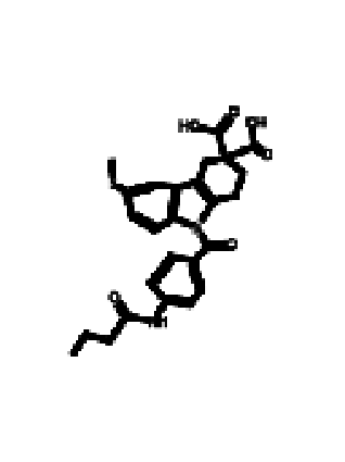 CCCC(=O)Nc1ccc(C(=O)n2c3c(c4cc(SC)ccc42)CC(C(=O)O)(C(=O)O)CC3)cc1